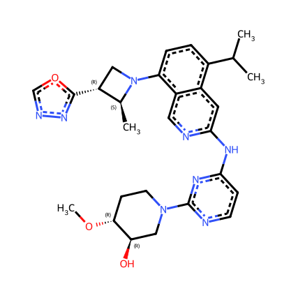 CO[C@@H]1CCN(c2nccc(Nc3cc4c(C(C)C)ccc(N5C[C@@H](c6nnco6)[C@@H]5C)c4cn3)n2)C[C@H]1O